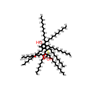 CCCCCCCCCCCCc1c(C)c(O)c(C(CCCCCCCCCCCC)CCCCCCCCCCCC)c(CCCCCCCCCCCC)c1C(CCCCCCCCCCCC)(CCCCCCCCCCCC)SC(CCCCCCCCCCCC)(CCCCCCCCCCCC)C(=O)O